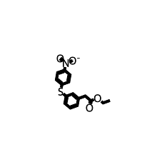 CCOC(=O)Cc1cccc(Sc2ccc([N+](=O)[O-])cc2)c1